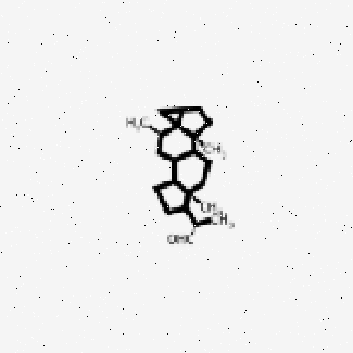 C[C@H](C=O)C1CCC2C3C[C@@H](C)C45CC4CC[C@]5(C)C3CC[C@@]21C